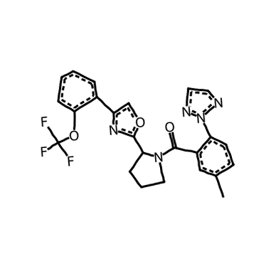 Cc1ccc(-n2nccn2)c(C(=O)N2CCCC2c2nc(-c3ccccc3OC(F)(F)F)co2)c1